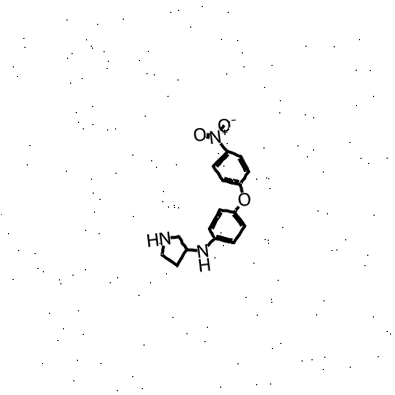 O=[N+]([O-])c1ccc(Oc2ccc(NC3CCNC3)cc2)cc1